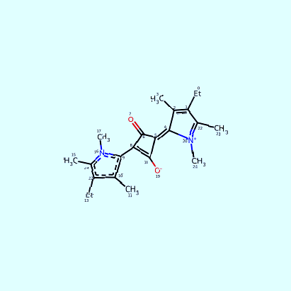 CCC1=C(C)/C(=C2\C(=O)C(c3c(C)c(CC)c(C)n3C)=C2[O-])[N+](C)=C1C